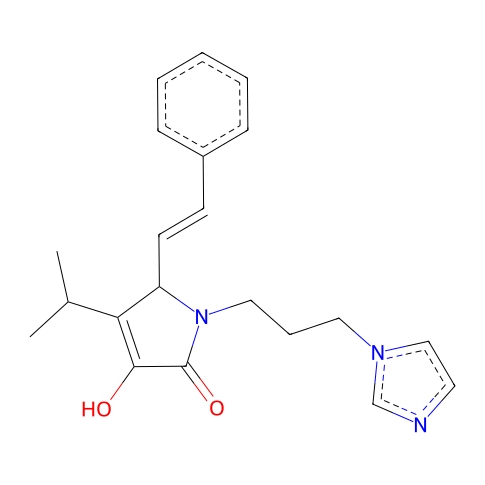 CC(C)C1=C(O)C(=O)N(CCCn2ccnc2)C1/C=C/c1ccccc1